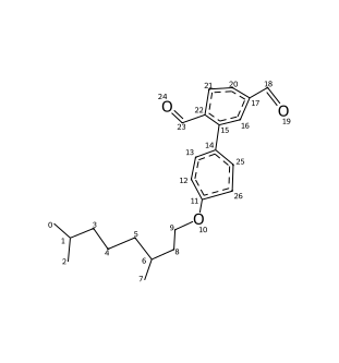 CC(C)CCCC(C)CCOc1ccc(-c2cc(C=O)ccc2C=O)cc1